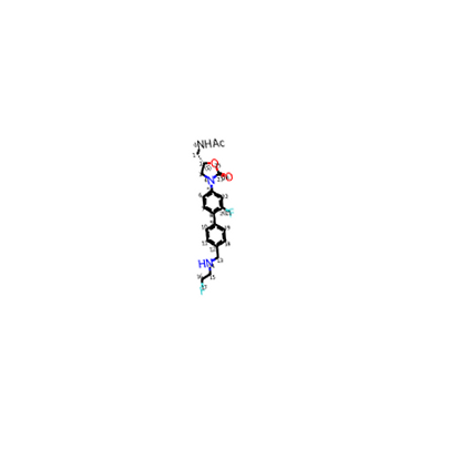 CC(=O)NC[C@H]1CN(c2ccc(-c3ccc(CNCCF)cc3)c(F)c2)C(=O)O1